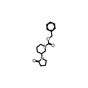 O=C(OCc1ccccc1)N1CCCC(N2CCCC2=O)C1